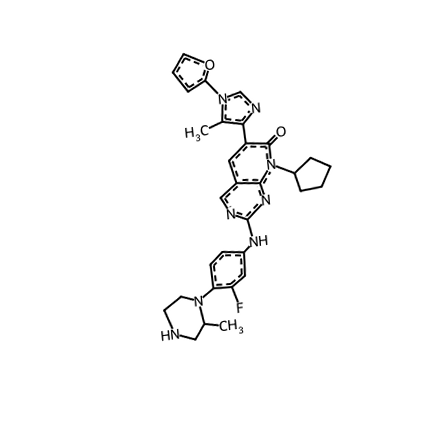 Cc1c(-c2cc3cnc(Nc4ccc(N5CCNCC5C)c(F)c4)nc3n(C3CCCC3)c2=O)ncn1-c1ccco1